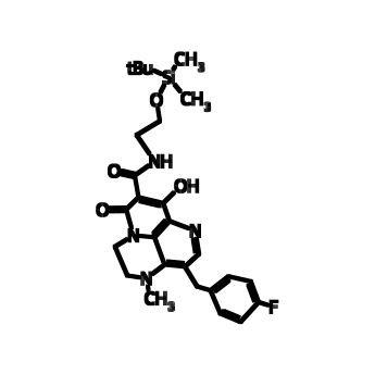 CN1CCn2c(=O)c(C(=O)NCCO[Si](C)(C)C(C)(C)C)c(O)c3ncc(Cc4ccc(F)cc4)c1c32